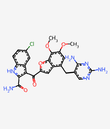 COc1cc(Cc2cnc(N)nc2N)c2cc(C(=O)c3c(C(N)=O)[nH]c4ccc(Cl)cc34)oc2c1OC